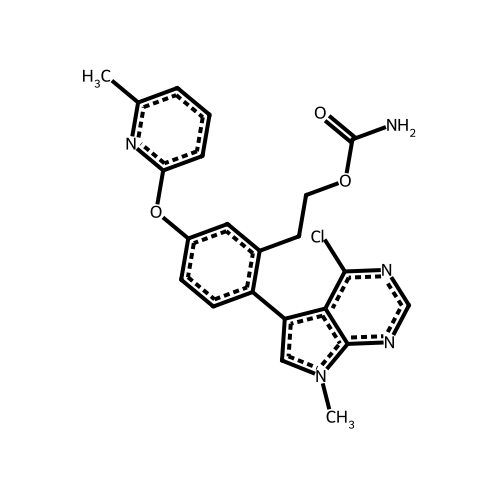 Cc1cccc(Oc2ccc(-c3cn(C)c4ncnc(Cl)c34)c(CCOC(N)=O)c2)n1